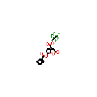 O=C(OC1C2CC3C1OC(=O)C3C2C(=O)OCC(F)(F)C(F)(F)F)C1CC2C=CC1C2